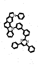 c1ccc(-c2cc(-c3ccccc3)nc(-c3cccc(-c4cccc(-n5c6ccccc6c6ccc7cc8ccn(-c9ccccc9)c8cc7c65)c4)c3)n2)cc1